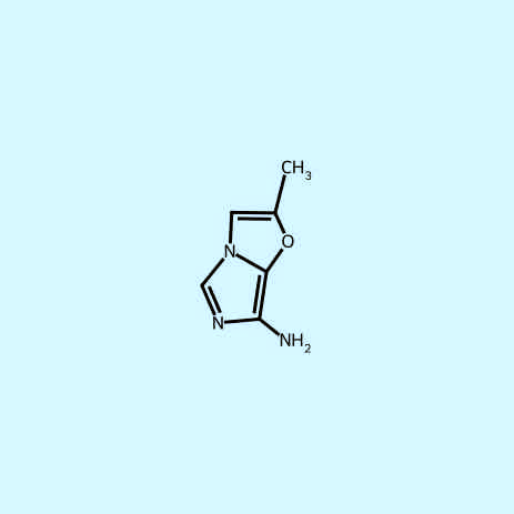 Cc1cn2cnc(N)c2o1